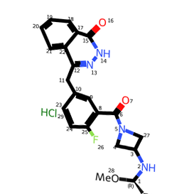 CC[C@H](NC1CN(C(=O)c2cc(Cc3n[nH]c(=O)c4ccccc34)ccc2F)C1)OC.Cl